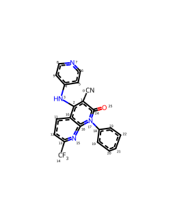 N#Cc1c(Nc2c[c]ncc2)c2ccc(C(F)(F)F)nc2n(-c2ccccc2)c1=O